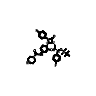 CC(C)(C)[Si](C)(C)O[C@@H](CC[C@H]1C(=O)N(c2ccc(F)cc2)[C@@H]1c1ccc(NC(=O)N2CCNCC2)cc1O)c1ccc(F)cc1